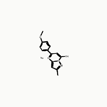 COc1ccc(-c2cc(O)n3nc(C)cc3n2)cc1.[Na]